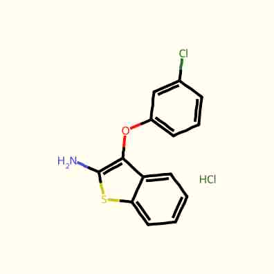 Cl.Nc1sc2ccccc2c1Oc1cccc(Cl)c1